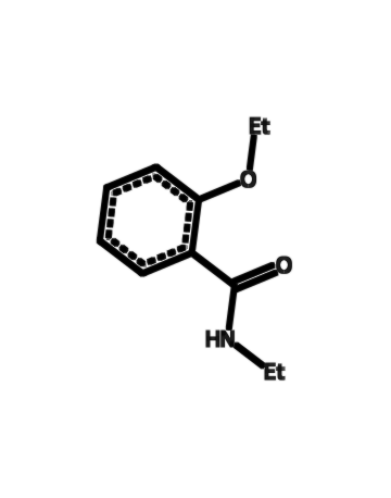 [CH2]CNC(=O)c1ccccc1OCC